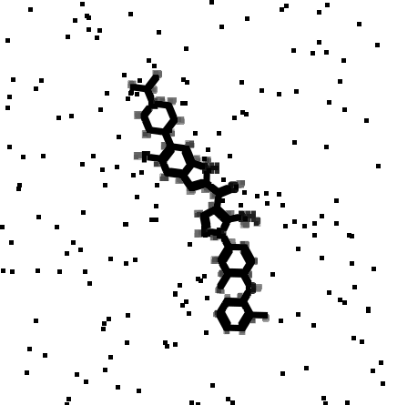 Cc1ccccc1Oc1ccc(-n2ncc(C(=O)c3cc4cc(F)c(C5CCN(C(C)C)CC5)cc4[nH]3)c2N)cc1C